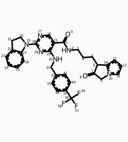 O=C(NCCCC1C(=O)Cn2cccc21)c1cnc(N2CCc3ccccc32)nc1NCc1ccc(C(F)(F)F)cc1